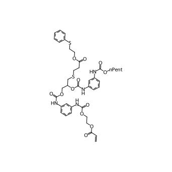 C=CC(=O)OCCOC(=O)Nc1cccc(NC(=O)OCC(CSCCC(=O)OCCSc2ccccc2)OC(=O)Nc2cccc(NC(=O)OCCCCC)c2)c1